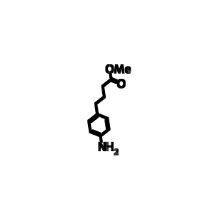 COC(=O)CCCc1ccc(N)cc1